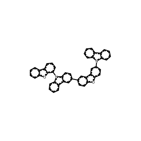 c1ccc2c(c1)oc1c(-n3c4ccccc4c4cc(-c5ccc6oc7ccc(-n8c9ccccc9c9ccccc98)cc7c6c5)ccc43)cccc12